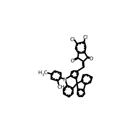 Cc1ccc(N2c3ccccc3C3(c4ccccc4-c4ccccc43)c3cc(C=C4C(=O)c5cc(Cl)c(Cl)cc5C4=O)ccc32)c(C)c1